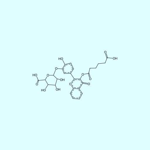 O=C(O)CCCCC(=O)Oc1c(-c2ccc(O)c(OC3OC(C(=O)O)C(O)C(O)C3O)c2)oc2ccccc2c1=O